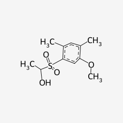 COc1cc(S(=O)(=O)C(C)O)c(C)cc1C